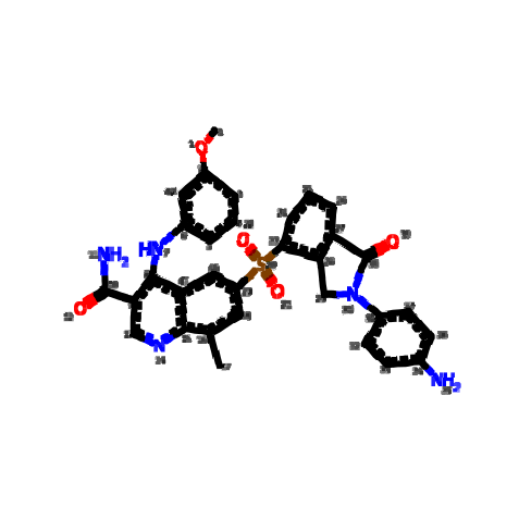 COc1cccc(Nc2c(C(N)=O)cnc3c(C)cc(S(=O)(=O)c4cccc5c4CN(c4ccc(N)cc4)C5=O)cc23)c1